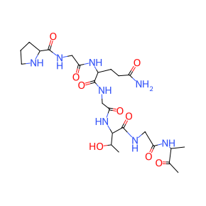 CC(=O)C(C)NC(=O)CNC(=O)C(NC(=O)CNC(=O)C(CCC(N)=O)NC(=O)CNC(=O)C1CCCN1)C(C)O